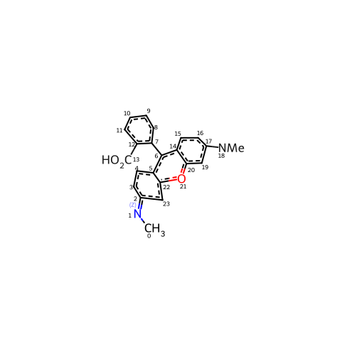 C/N=c1/ccc2c(-c3ccccc3C(=O)O)c3ccc(NC)cc3oc-2c1